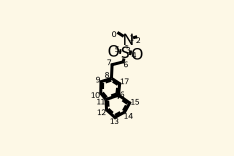 CN(C)S(=O)(=O)CCc1ccc2ccccc2c1